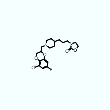 O=C1OCCN1CCCC1CCN(CC2COc3c(Cl)cc(F)cc3O2)CC1